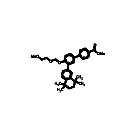 COCCOCOc1ccc(-c2ccc(C(=O)OC)cc2)cc1-c1ccc2c(c1)C(C)(C)CCC2(C)C